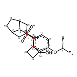 O=S(=O)(c1ccc(OC(F)F)cc1)N1C2CCC1CC(NC1CCC1O)C2